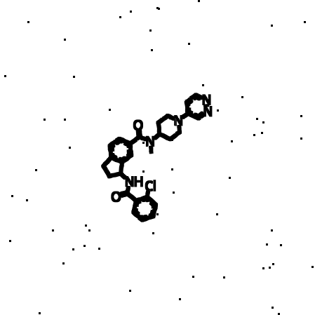 CN(C(=O)c1ccc2c(c1)C(NC(=O)c1ccccc1Cl)CC2)C1CCN(c2ccnnc2)CC1